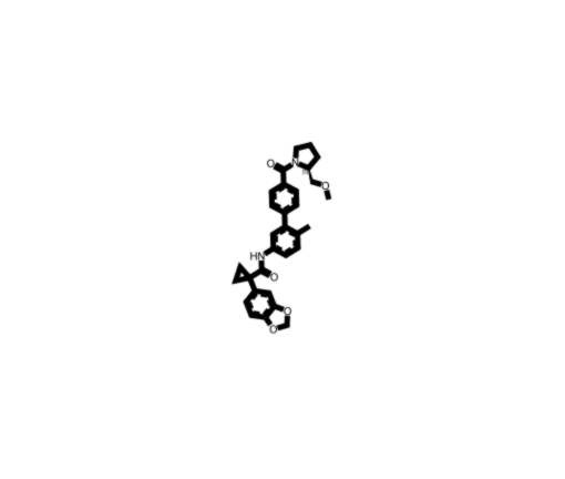 COC[C@@H]1CCCN1C(=O)c1ccc(-c2cc(NC(=O)C3(c4ccc5c(c4)OCO5)CC3)ccc2C)cc1